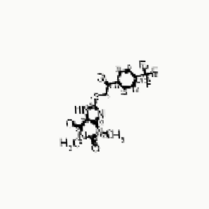 Cn1c(=O)c2[nH]c(SCC(=O)c3ccc(C(F)(F)F)cc3)nc2n(C)c1=O